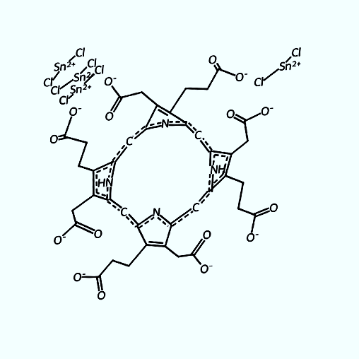 O=C([O-])CCC1=C(CC(=O)[O-])c2cc3[nH]c(cc4nc(cc5[nH]c(cc1n2)c(CC(=O)[O-])c5CCC(=O)[O-])C(CC(=O)[O-])=C4CCC(=O)[O-])c(CC(=O)[O-])c3CCC(=O)[O-].[Cl][Sn+2][Cl].[Cl][Sn+2][Cl].[Cl][Sn+2][Cl].[Cl][Sn+2][Cl]